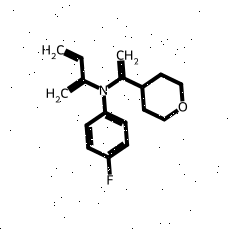 C=CC(=C)N(C(=C)C1CCOCC1)c1ccc(F)cc1